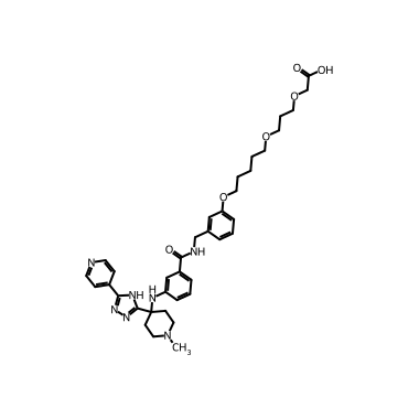 CN1CCC(Nc2cccc(C(=O)NCc3cccc(OCCCCCOCCCOCC(=O)O)c3)c2)(c2nnc(-c3ccncc3)[nH]2)CC1